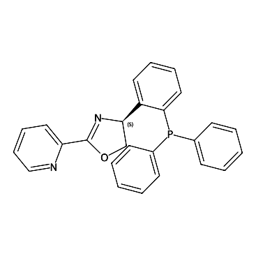 c1ccc(P(c2ccccc2)c2ccccc2[C@H]2COC(c3ccccn3)=N2)cc1